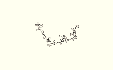 COc1cc2c(c(F)c1OCCCOc1c(OC)cc3sc(C(=O)CCC(=O)O[C@@H](C)CNC(=O)CCOCCOCCNC(=O)CN4C(=O)C=CC4=O)cc3c1F)CN(C(=O)CCC(=O)O)C2